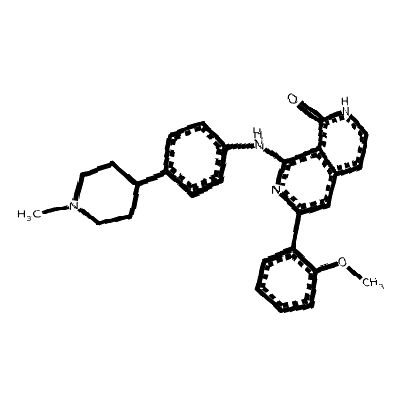 COc1ccccc1-c1cc2cc[nH]c(=O)c2c(Nc2ccc(C3CCN(C)CC3)cc2)n1